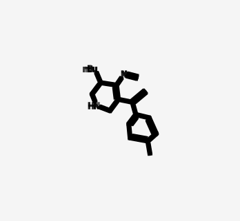 C=NC1=C(C(=C)c2ccc(C)cc2)CNCC1CCCC